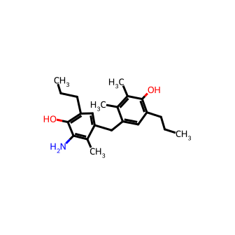 CCCc1cc(Cc2cc(CCC)c(O)c(N)c2C)c(C)c(C)c1O